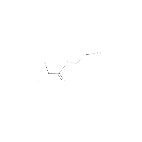 CC(C)[C@H](N)C(=O)OCC[C]=O